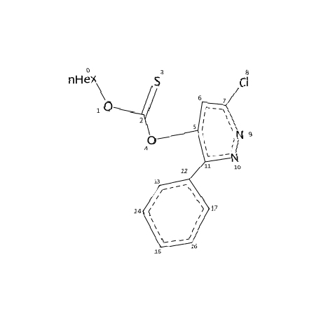 CCCCCCOC(=S)Oc1cc(Cl)nnc1-c1ccccc1